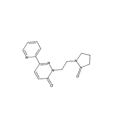 O=C1CCCN1CCn1nc(-c2ccccn2)ccc1=O